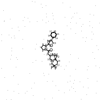 N[C@@H](CC(=O)N1CCC[C@H]1C1=N[C@@H](c2ccccc2)CO1)CN1CC(F)(F)CCC1=O